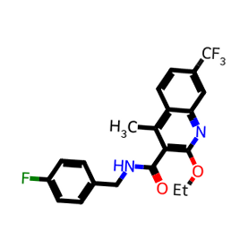 CCOc1nc2cc(C(F)(F)F)ccc2c(C)c1C(=O)NCc1ccc(F)cc1